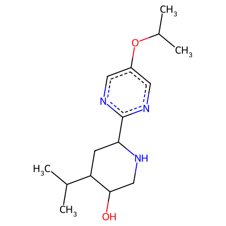 CC(C)Oc1cnc(C2CC(C(C)C)C(O)CN2)nc1